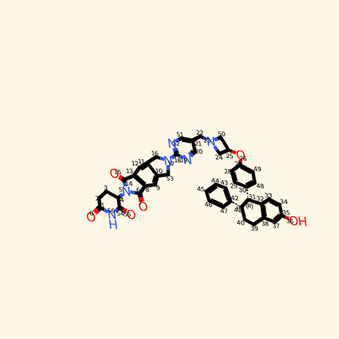 O=C1CCC(N2C(=O)c3cc4c(cc3C2=O)CN(c2ncc(CN3CC(Oc5ccc([C@@H]6c7ccc(O)cc7CC[C@@H]6c6ccccc6)cc5)C3)cn2)C4)C(=O)N1